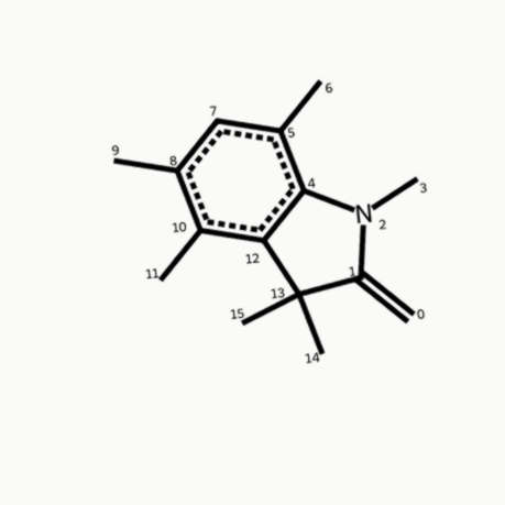 C=C1N(C)c2c(C)cc(C)c(C)c2C1(C)C